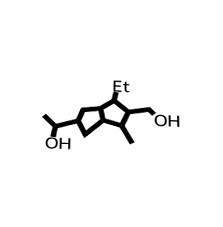 CCC1C(CO)C(C)C2CC(C(C)O)CC21